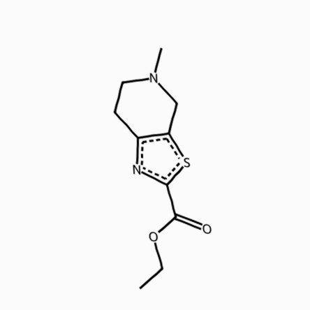 CCOC(=O)c1nc2c(s1)CN(C)CC2